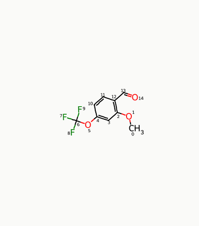 COc1cc(OC(F)(F)F)ccc1C=O